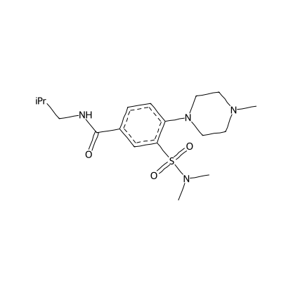 CC(C)CNC(=O)c1ccc(N2CCN(C)CC2)c(S(=O)(=O)N(C)C)c1